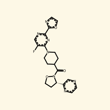 O=C(C1CCN(c2nc(-c3ncco3)ncc2F)CC1)N1OCC[C@H]1c1cnccn1